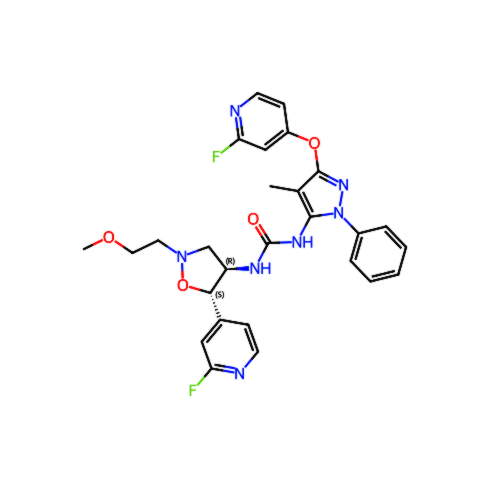 COCCN1C[C@@H](NC(=O)Nc2c(C)c(Oc3ccnc(F)c3)nn2-c2ccccc2)[C@H](c2ccnc(F)c2)O1